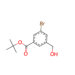 CC(C)(C)OC(=O)c1cc(Br)cc(CO)c1